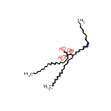 CCCCCCCC/C=C\CCCCCCC(CCCCCCCCCCCCCCCC)C(=O)C(O)(CCCCCCCCCCCCCCCCCC)C(O)CO